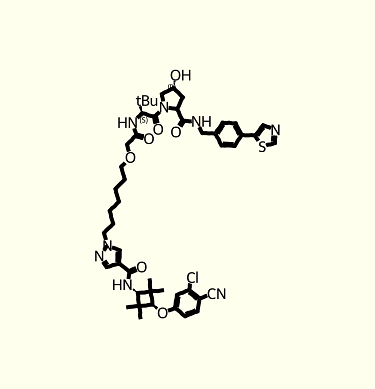 CC(C)(C)[C@H](NC(=O)COCCCCCCCn1cc(C(=O)N[C@H]2C(C)(C)[C@H](Oc3ccc(C#N)c(Cl)c3)C2(C)C)cn1)C(=O)N1C[C@H](O)CC1C(=O)NCc1ccc(-c2cncs2)cc1